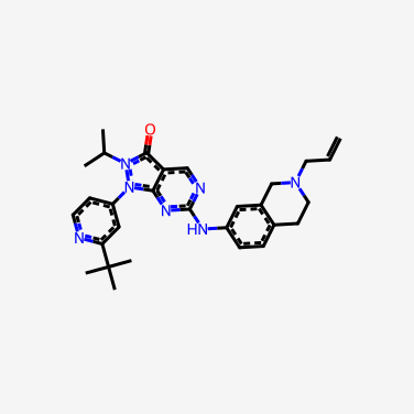 C=CCN1CCc2ccc(Nc3ncc4c(=O)n(C(C)C)n(-c5ccnc(C(C)(C)C)c5)c4n3)cc2C1